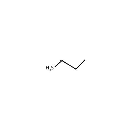 CC[CH][SiH3]